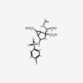 CCOC(=O)C1C2C(OS(=O)(=O)c3ccc(C)cc3)CC(C(=O)OCC)(N(C=O)OC(C)(C)C)C12